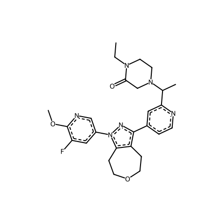 CCN1CCN(C(C)c2cc(-c3nn(-c4cnc(OC)c(F)c4)c4c3CCOCC4)ccn2)CC1=O